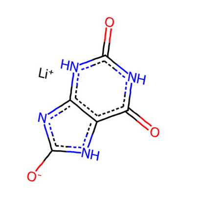 O=c1[nH]c(=O)c2[nH]c([O-])nc2[nH]1.[Li+]